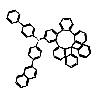 c1ccc(-c2ccc(N(c3ccc(-c4ccc5ccccc5c4)cc3)c3ccc4c(c3)-c3ccccc3C(c3ccccc3)(c3ccccc3)c3ccccc3-c3ccccc3-4)cc2)cc1